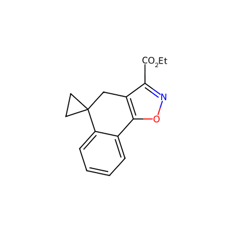 CCOC(=O)c1noc2c1CC1(CC1)c1ccccc1-2